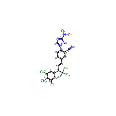 N#Cc1cc(C=CC(c2cc(Cl)c(Cl)c(Cl)c2)C(F)(F)F)ccc1-n1cnc([N+](=O)[O-])n1